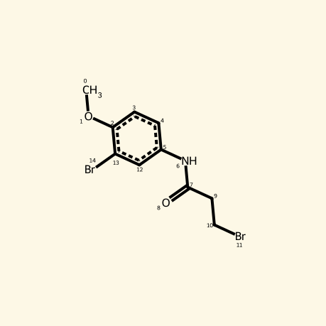 COc1ccc(NC(=O)CCBr)cc1Br